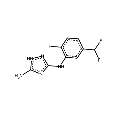 Nc1nc(Nc2cc(C(F)F)ccc2F)n[nH]1